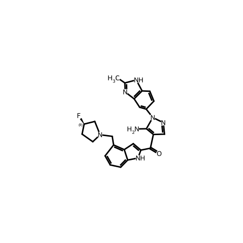 Cc1nc2cc(-n3ncc(C(=O)c4cc5c(CN6CC[C@@H](F)C6)cccc5[nH]4)c3N)ccc2[nH]1